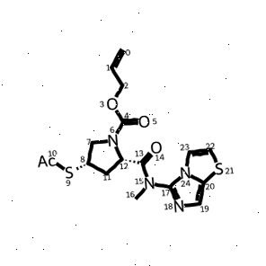 C=CCOC(=O)N1C[C@@H](SC(C)=O)C[C@H]1C(=O)N(C)c1ncc2sccn12